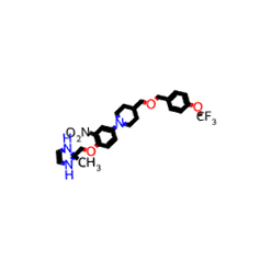 CC1(COc2ccc(N3CCC(COCc4ccc(OC(F)(F)F)cc4)CC3)cc2[N+](=O)[O-])NC=CN1